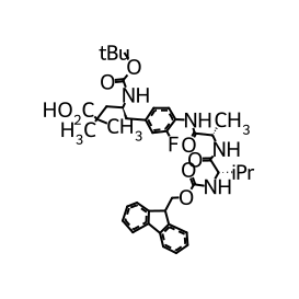 CC(C)[C@H](NC(=O)OCC1c2ccccc2-c2ccccc21)C(=O)N[C@@H](C)C(=O)Nc1ccc(C[C@@H](CC(C)(C)C(=O)O)NC(=O)OC(C)(C)C)cc1F